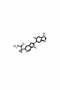 Cc1cc2[nH]cnc2cc1-c1cc2cc(C3(C(N)=O)CC3)ncc2n1C